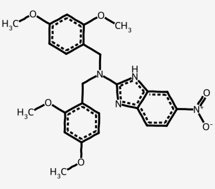 COc1ccc(CN(Cc2ccc(OC)cc2OC)c2nc3ccc([N+](=O)[O-])cc3[nH]2)c(OC)c1